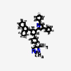 Cc1ncc(-c2ccc(-c3cc(-c4cc(-c5ccccc5)cc(-c5ccccc5)n4)cc(-c4cc5ccccc5c5ccccc45)c3)cc2)c(C)n1